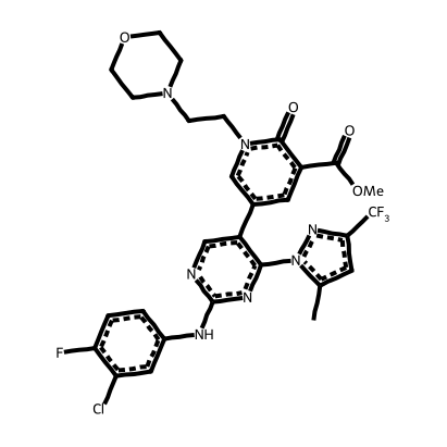 COC(=O)c1cc(-c2cnc(Nc3ccc(F)c(Cl)c3)nc2-n2nc(C(F)(F)F)cc2C)cn(CCN2CCOCC2)c1=O